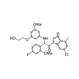 COc1cc(NC(C(=O)c2c[nH]c3c(C)cc(Cl)cc23)c2ccc(F)cc2OC)cc(OCCO)c1